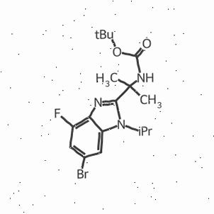 CC(C)n1c(C(C)(C)NC(=O)OC(C)(C)C)nc2c(F)cc(Br)cc21